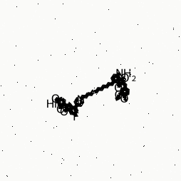 CCOc1cc(CN2C(=O)c3c(N)ccc(CCCCCCCCCCCCN4CCC(c5cc(F)cc6c5CN(C5CCC(=O)NC5=O)C6=O)CC4)c3C2=O)ccc1OC